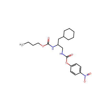 CCCCOC(=O)NC(CNC(=O)Oc1ccc([N+](=O)[O-])cc1)CC1CCCCC1